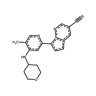 Cc1cnc(-c2ccc3cc(C#N)cnn23)cc1NC1CCOCC1